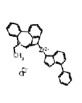 CCP1C2=Cc3c(cccc3[CH]2[Zr+2][CH]2C=Cc3c(-c4ccccc4)cccc32)-c2ccccc21.[Cl-].[Cl-]